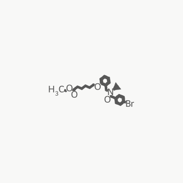 CCOC(=O)CCCCCOc1ccccc1CN(C(=O)c1ccc(Br)cc1)C1CC1